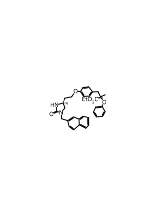 CCOC(=O)[C@](C)(Cc1ccc(OCC[C@H]2CN(Cc3ccc4ccccc4c3)C(=O)N2)cc1)Oc1ccccc1